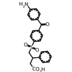 Nc1ccc(C(=O)c2ccc(S(=O)(=O)CC(CC(=O)O)c3ccccc3)cc2)cc1